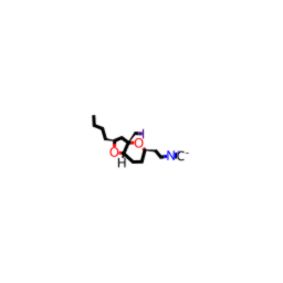 [C-]#[N+]CC[C@H]1CC[C@@H]2O[C@@H](CCCC)C[C@]2(CI)O1